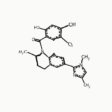 Cc1cn(C)c(-c2ccc3c(c2)CCC(C)N3C(=O)c2cc(Cl)c(O)cc2O)n1